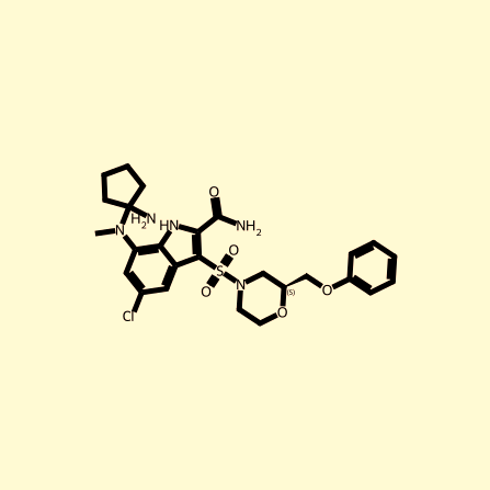 CN(c1cc(Cl)cc2c(S(=O)(=O)N3CCO[C@H](COc4ccccc4)C3)c(C(N)=O)[nH]c12)C1(N)CCCC1